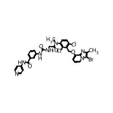 Cc1nc2c(OCc3c(Cl)ccc(N(C)C(=O)CNC(=O)Nc4cccc(C(=O)Nc5ccncc5)c4)c3Cl)cccn2c1Br